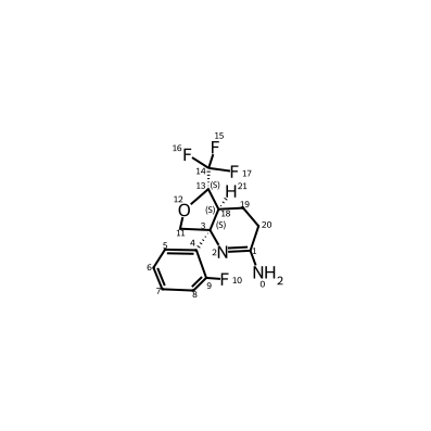 NC1=N[C@@]2(c3ccccc3F)CO[C@H](C(F)(F)F)[C@H]2CC1